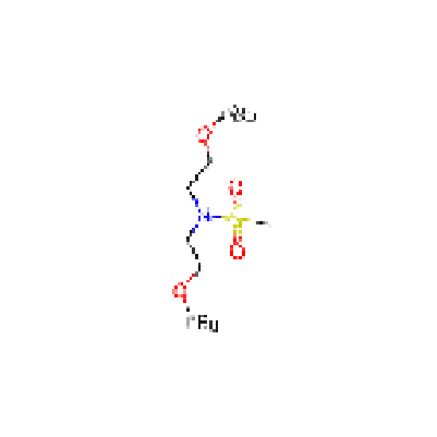 CCCCOCCN(CCOCCCC)S(C)(=O)=O